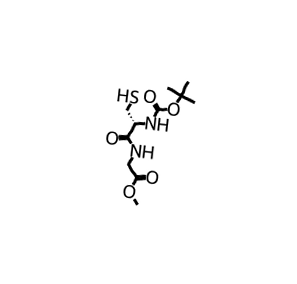 COC(=O)CNC(=O)[C@H](CS)NC(=O)OC(C)(C)C